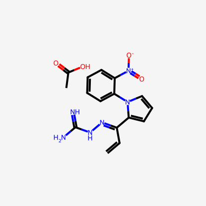 C=CC(=NNC(=N)N)c1cccn1-c1ccccc1[N+](=O)[O-].CC(=O)O